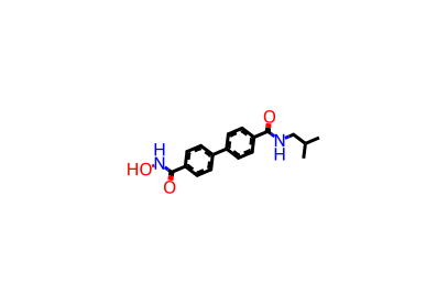 CC(C)CNC(=O)c1ccc(-c2ccc(C(=O)NO)cc2)cc1